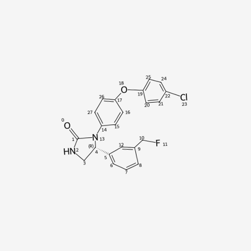 O=C1NC[C@@H](c2cccc(CF)c2)N1c1ccc(Oc2ccc(Cl)cc2)cc1